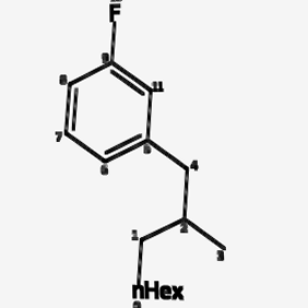 CCCCCCCC(C)Cc1cccc(F)c1